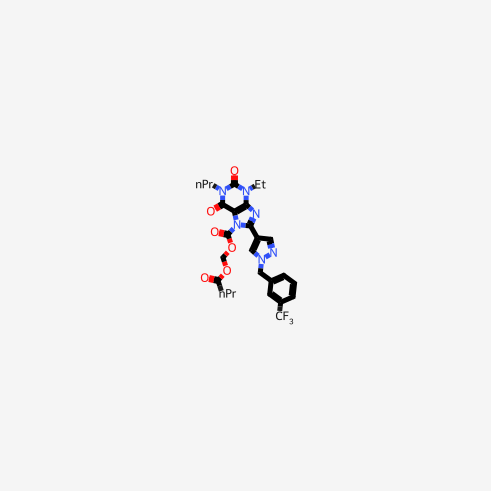 CCCC(=O)OCOC(=O)n1c(-c2cnn(Cc3cccc(C(F)(F)F)c3)c2)nc2c1c(=O)n(CCC)c(=O)n2CC